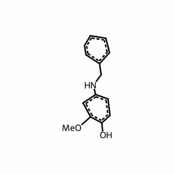 COc1cc(NCc2ccccc2)ccc1O